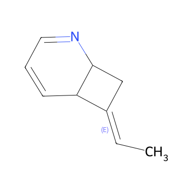 C/C=C1\CC2N=CC=CC12